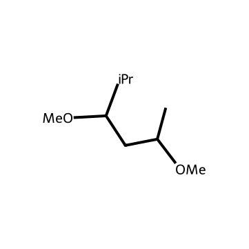 COC(C)CC(OC)C(C)C